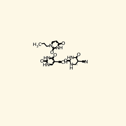 C#Cc1c[nH]c(=O)[nH]c1=O.CCCn1ccc(=O)[nH]c1=O.N#C[C]1[C]NC(=O)NC1=O